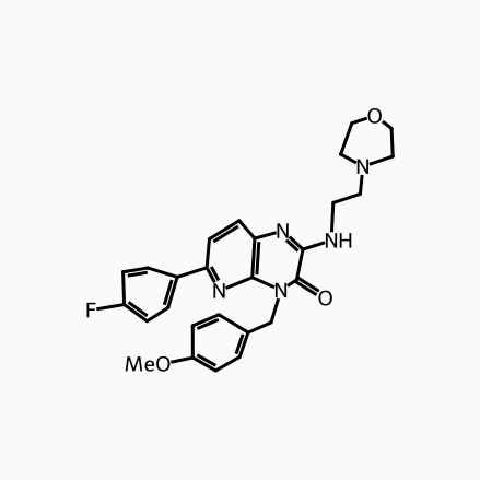 COc1ccc(Cn2c(=O)c(NCCN3CCOCC3)nc3ccc(-c4ccc(F)cc4)nc32)cc1